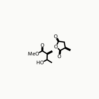 C=C(C(=O)OC)C(C)O.C=C1CC(=O)OC1=O